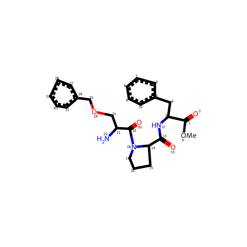 COC(=O)C(Cc1ccccc1)NC(=O)C1CCCN1C(=O)C(N)COCc1ccccc1